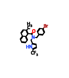 Cc1ccc2ccccc2c1C(=O)N(Cc1ccc(Br)cc1)Cc1ccc(C(F)(F)F)[nH]1